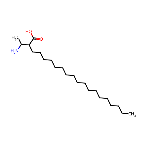 CCCCCCCCCCCCCCCCCCC(C(=O)O)C(C)N